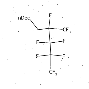 [CH2]CCCCCCCCCCC(F)(C(F)(F)F)C(F)(F)C(F)(F)C(F)(F)F